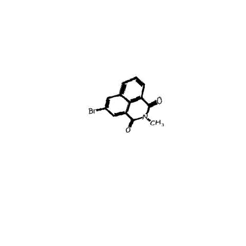 CN1C(=O)c2cccc3cc(Br)cc(c23)C1=O